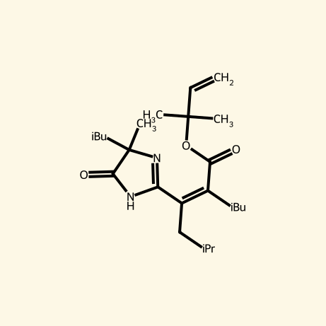 C=CC(C)(C)OC(=O)C(=C(CC(C)C)C1=NC(C)(C(C)CC)C(=O)N1)C(C)CC